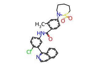 Cc1cc(N2CCCCCS2(=O)=O)ccc1C(=O)Nc1ccc(Cl)c(-c2nccc3ccccc23)c1